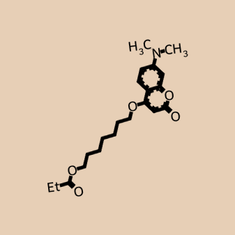 CCC(=O)OCCCCCCCOc1cc(=O)oc2cc(N(C)C)ccc12